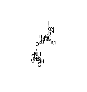 NC1(C(=O)N[C@@H](CCN2CCN(C(=O)CCCCCCNc3cccc4c3C(=O)N(C3CCC(=O)NC3=O)C4=O)CC2)c2ccc(Cl)cc2)CCN(c2ncnc3[nH]ccc23)CC1